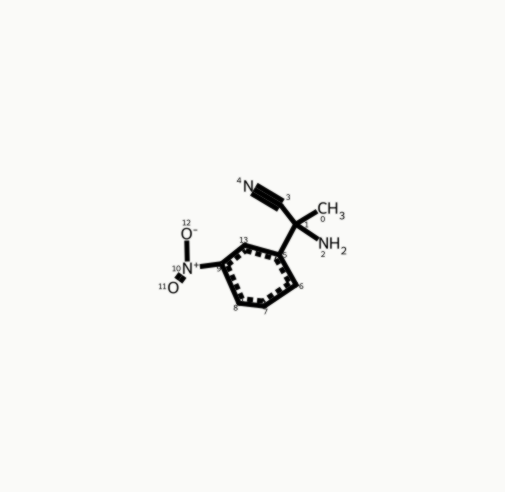 CC(N)(C#N)c1cccc([N+](=O)[O-])c1